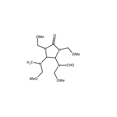 COCN(C)C1C(N(C=O)COC)N(COC)C(=O)N1COC